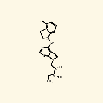 CC[C@@H](C)[C@@H](O)Cn1ccc2c(N[C@H]3CCc4c(Cl)cccc43)ncnc21